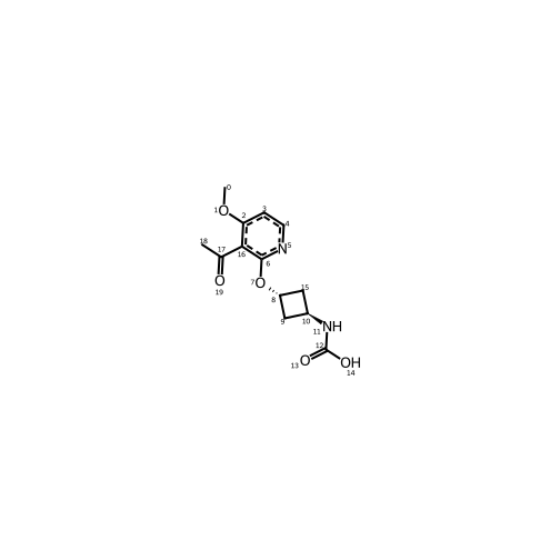 COc1ccnc(O[C@H]2C[C@H](NC(=O)O)C2)c1C(C)=O